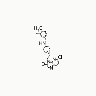 Cc1ccc(CNC2CCN(CCn3c(=O)cnc4ccc(Cl)nc43)CC2)cc1F